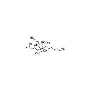 CC(O)CC(O)C(O)C(C)(C)C(O)(C(O)CCCO)C(O)CCCCCO